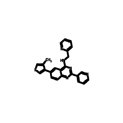 Cc1cscc1-c1ccc2nc(-c3cccnc3)nc(NCc3ccccn3)c2c1